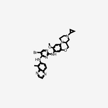 COc1cc2c(cc1Nc1ncc(Br)c(Nc3ccc4nccnc4c3C)n1)OCC1CN(C3CC3)CCN21